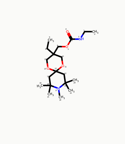 CCNC(=O)OCC1(CC)COC2(CC(C)(C)N(C)C(C)(C)C2)OC1